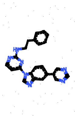 c1ccc(CCNc2nccc(-n3cnc4cc(-c5cncnc5)ccc43)n2)cc1